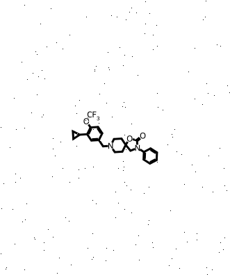 O=C1OC2(CCN(Cc3ccc(OC(F)(F)F)c(C4CC4)c3)CC2)CN1c1ccccc1